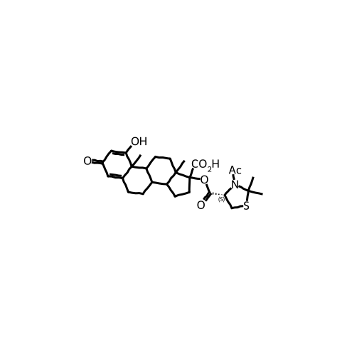 CC(=O)N1[C@@H](C(=O)OC2(C(=O)O)CCC3C4CCC5=CC(=O)C=C(O)C5(C)C4CCC32C)CSC1(C)C